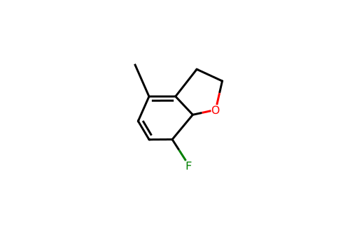 CC1=C2CCOC2C(F)C=C1